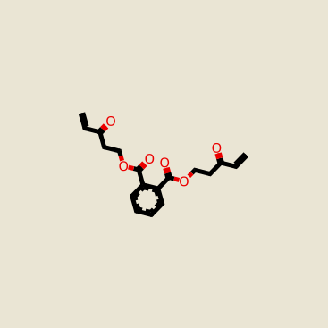 C=CC(=O)CCOC(=O)c1ccccc1C(=O)OCCC(=O)C=C